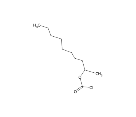 CCCCCCCCC(C)OC(=O)Cl